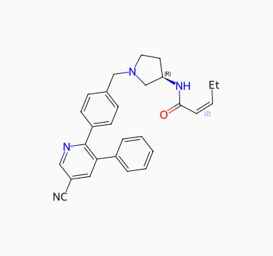 CC/C=C\C(=O)N[C@@H]1CCN(Cc2ccc(-c3ncc(C#N)cc3-c3ccccc3)cc2)C1